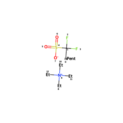 CCCCCC(F)(F)S(=O)(=O)[O-].CC[N+](CC)(CC)CC